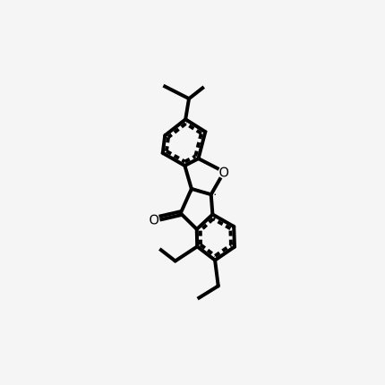 CCc1ccc2c(c1CC)C(=O)[C]1[C]2Oc2cc(C(C)C)ccc21